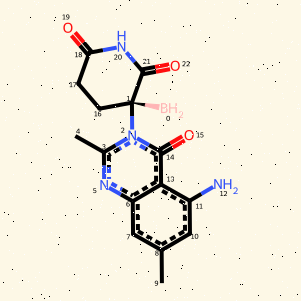 B[C@@]1(n2c(C)nc3cc(C)cc(N)c3c2=O)CCC(=O)NC1=O